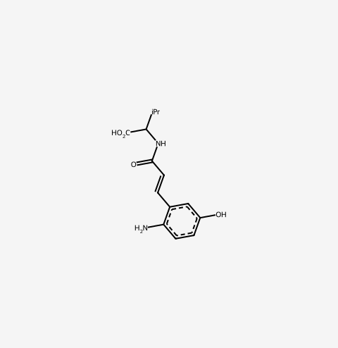 CC(C)C(NC(=O)C=Cc1cc(O)ccc1N)C(=O)O